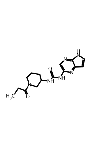 CCC(=O)N1CCCC(NC(=O)Nc2cnc3[nH]ccc3n2)C1